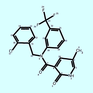 Cc1c[nH]c(=O)c(C(=O)N(Cc2ccccc2Cl)c2cccc(C(F)(F)F)c2)c1